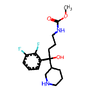 COC(=O)NCCCC(O)(c1cccc(F)c1F)C1CCCNC1